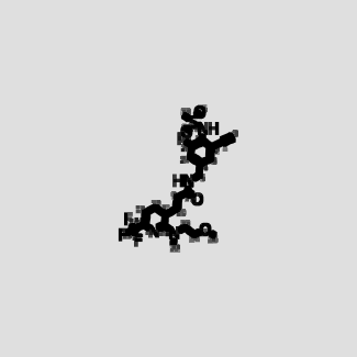 C#Cc1cc(CNC(=O)/C=C/C2CC=C(C(F)(F)F)N=C2N(C)CCOC)cc(F)c1NS(C)(=O)=O